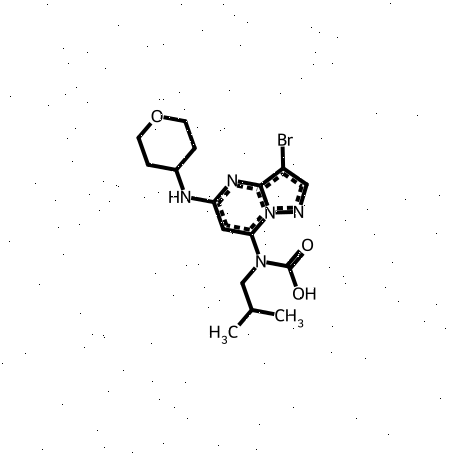 CC(C)CN(C(=O)O)c1cc(NC2CCOCC2)nc2c(Br)cnn12